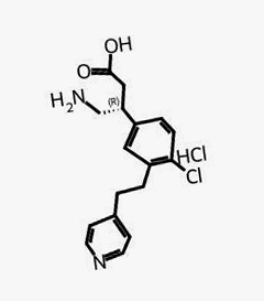 Cl.NC[C@H](CC(=O)O)c1ccc(Cl)c(CCc2ccncc2)c1